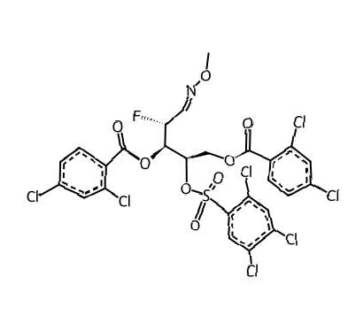 CON=C[C@@H](F)[C@H](OC(=O)c1ccc(Cl)cc1Cl)[C@@H](COC(=O)c1ccc(Cl)cc1Cl)OS(=O)(=O)c1cc(Cl)c(Cl)cc1Cl